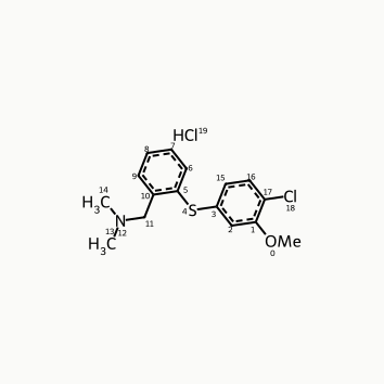 COc1cc(Sc2ccccc2CN(C)C)ccc1Cl.Cl